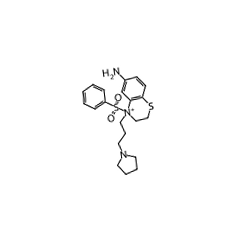 Nc1ccc2c(c1)[N+](CCCN1CCCC1)(S(=O)(=O)c1ccccc1)CCS2